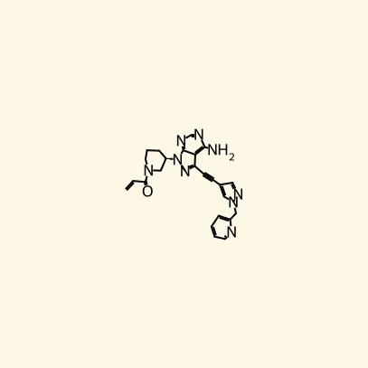 C=CC(=O)N1CCC[C@@H](n2nc(C#Cc3cnn(Cc4ccccn4)c3)c3c(N)ncnc32)C1